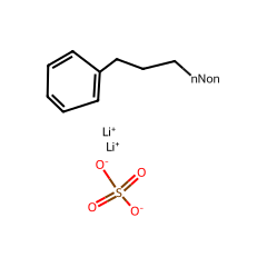 CCCCCCCCCCCCc1ccccc1.O=S(=O)([O-])[O-].[Li+].[Li+]